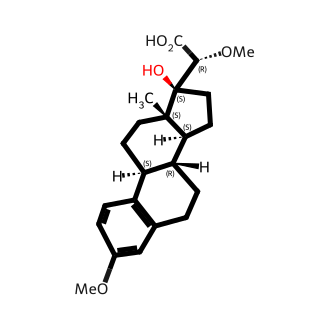 COc1ccc2c(c1)CC[C@@H]1[C@@H]2CC[C@@]2(C)[C@H]1CC[C@@]2(O)[C@@H](OC)C(=O)O